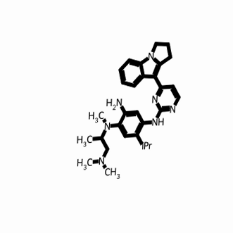 CC(C)c1cc(N(C)C(C)CN(C)C)c(N)cc1Nc1nccc(-c2c3n(c4ccccc24)CCC3)n1